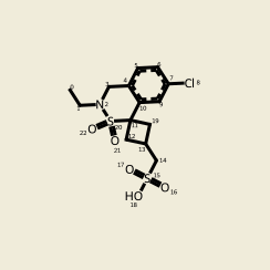 CCN1Cc2ccc(Cl)cc2C2(CC(CS(=O)(=O)O)C2)S1(=O)=O